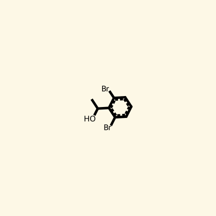 CC(O)c1c(Br)cccc1Br